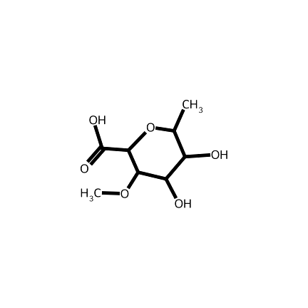 COC1C(C(=O)O)OC(C)C(O)C1O